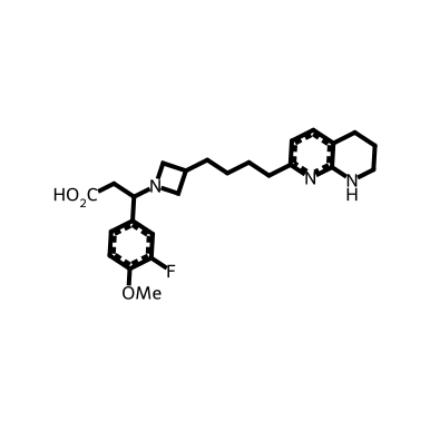 COc1ccc(C(CC(=O)O)N2CC(CCCCc3ccc4c(n3)NCCC4)C2)cc1F